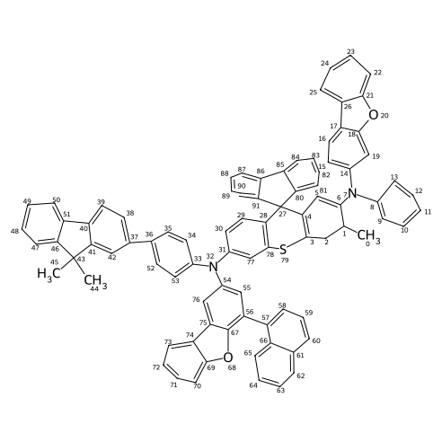 CC1CC2=C(C=C1N(c1ccccc1)c1ccc3c(c1)oc1ccccc13)C1(c3ccc(N(c4ccc(-c5ccc6c(c5)C(C)(C)c5ccccc5-6)cc4)c4cc(-c5cccc6ccccc56)c5oc6ccccc6c5c4)cc3S2)c2ccccc2-c2ccccc21